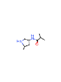 CC1CC(NC(=O)C(C)C)CN1